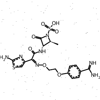 C[C@H]1[C@H](NC(=O)/C(=N\OCCOc2ccc(C(=N)N)cc2)c2csc(N)n2)C(=O)N1S(=O)(=O)O